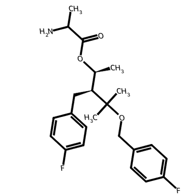 CC(N)C(=O)O[C@@H](C)[C@H](Cc1ccc(F)cc1)C(C)(C)OCc1ccc(F)cc1